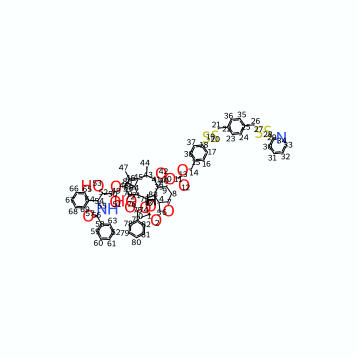 CC(=O)O[C@@]12COC1C[C@H](OC(=O)OCc1ccc(SSCc3ccc(CSSc4ccccn4)cc3)cc1)[C@@]1(C)C(=O)[C@H](C)C3=C(C)[C@@H](OC(=O)[C@H](O)[C@@H](NC(=O)c4ccccc4)c4ccccc4)C[C@@](O)([C@@H](OC(=O)c4ccccc4)[C@@H]12)C3(C)C